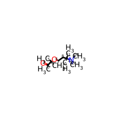 CC(=O)C(C)(C)OCCC(C)(C)N(C)C